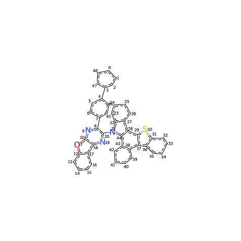 c1ccc(-c2ccc(-c3nc4oc5ccccc5c4nc3-n3c4ccccc4c4c5sc6ccccc6c5c5ccccc5c43)cc2)cc1